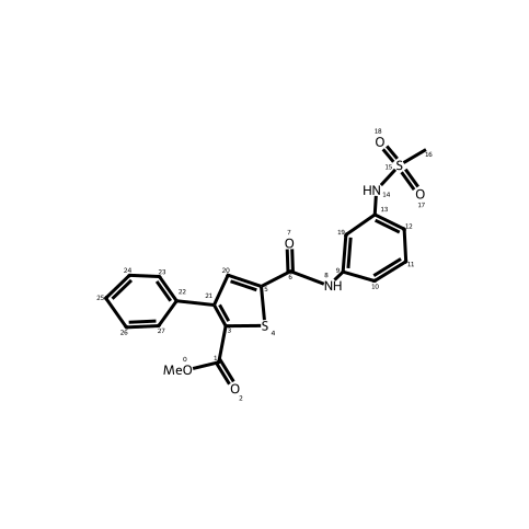 COC(=O)c1sc(C(=O)Nc2cccc(NS(C)(=O)=O)c2)cc1-c1ccccc1